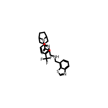 O=C(CCNCc1cccc2ncsc12)N1CC2CCC(C1)N2c1ccc(C(F)(F)F)cn1